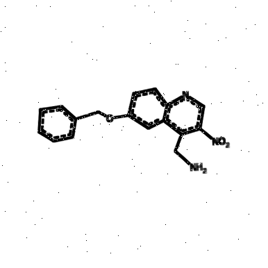 NCc1c([N+](=O)[O-])cnc2ccc(OCc3ccccc3)cc12